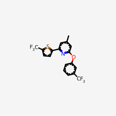 Cc1cc(Oc2cccc(C(F)(F)F)c2)nc(-c2ccc(C(F)(F)F)s2)c1